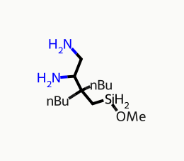 CCCCC(CCCC)(C[SiH2]OC)C(N)CN